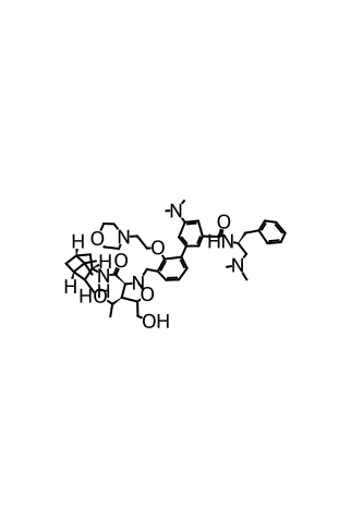 CC(O)[C@@H]1C(CO)ON(Cc2cccc(-c3cc(C(=O)N[C@@H](Cc4ccccc4)CN(C)C)cc(N(C)C)c3)c2OCCN2CCOCC2)[C@@H]1C(=O)N[C@H]1C[C@H]2C[C@@H](C1C)C2(C)C